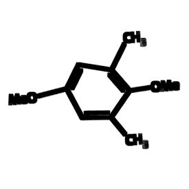 COc1cc(C)c(OC)c(C)c1